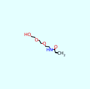 C=CC(=O)NCCOCCOCCO